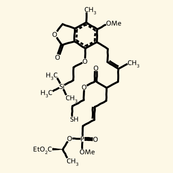 CCOC(=O)[C@H](C)OP(=O)(C/C=C/CC(C/C(C)=C/Cc1c(OC)c(C)c2c(c1OCC[Si](C)(C)C)C(=O)OC2)C(=O)OCCS)OC